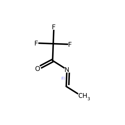 C/C=N/C(=O)C(F)(F)F